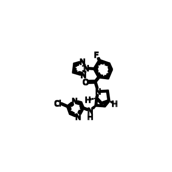 O=C(c1cccc(F)c1-n1nccn1)N1C[C@H]2C[C@@H](Nc3cnc(Cl)cn3)[C@@H]1C2